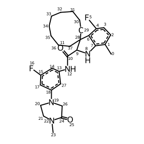 Cc1ccc(F)c2c1NC(C(=O)Nc1cc(F)cc(N3CCN(C)C(=O)C3)c1)C21CCCCCCCCC1